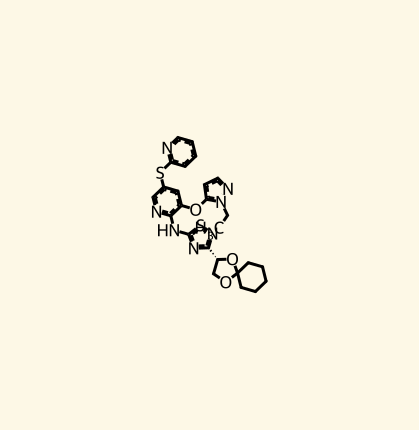 CCn1nccc1Oc1cc(Sc2ccccn2)cnc1Nc1nc([C@H]2COC3(CCCCC3)O2)ns1